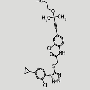 CC(C)(C#Cc1ccc(NC(=O)CSc2nnnn2-c2ccc(C3CC3)cc2Cl)c(Cl)c1)OCCO